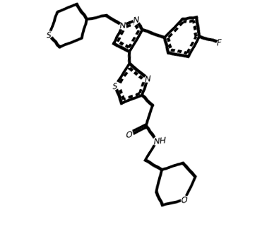 O=C(Cc1csc(-c2cn(CC3CCSCC3)nc2-c2ccc(F)cc2)n1)NCC1CCOCC1